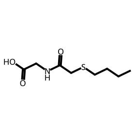 CCCCSCC(=O)NCC(=O)O